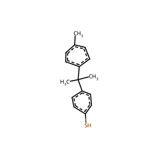 Cc1ccc(C(C)(C)c2ccc(S)cc2)cc1